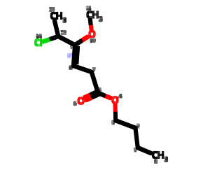 CCCCOC(=O)C/C=C(\OC)C(C)Cl